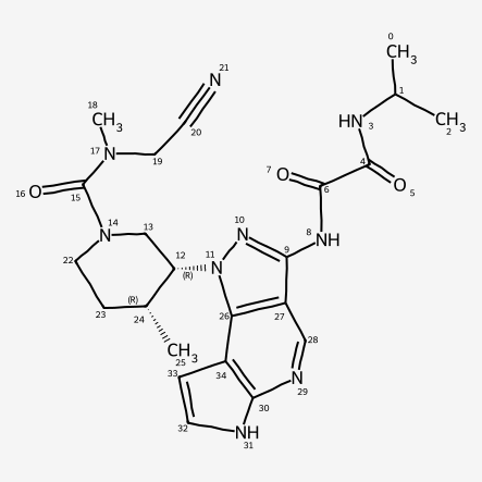 CC(C)NC(=O)C(=O)Nc1nn([C@H]2CN(C(=O)N(C)CC#N)CC[C@H]2C)c2c1cnc1[nH]ccc12